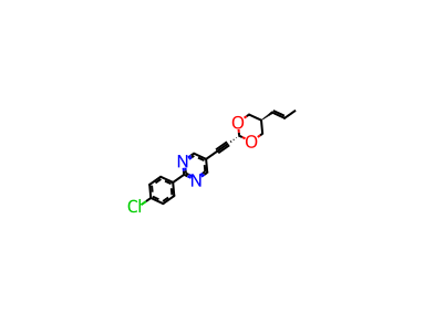 C/C=C/[C@H]1CO[C@H](C#Cc2cnc(-c3ccc(Cl)cc3)nc2)OC1